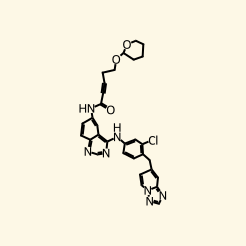 O=C(C#CCCOC1CCCCO1)Nc1ccc2ncnc(Nc3ccc(Cc4ccn5ncnc5c4)c(Cl)c3)c2c1